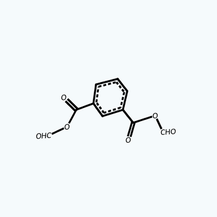 O=COC(=O)c1cccc(C(=O)OC=O)c1